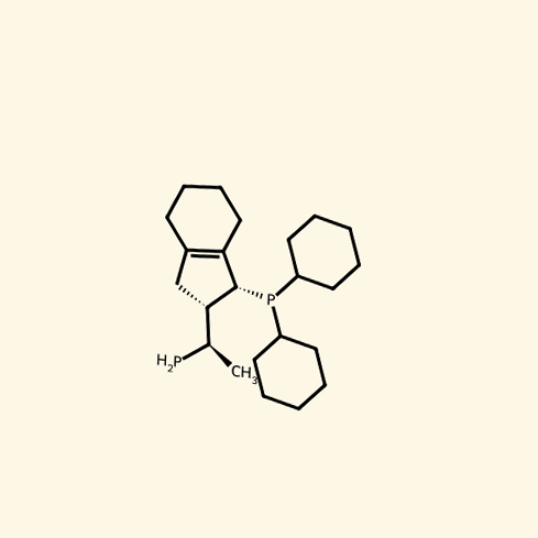 C[C@@H](P)[C@@H]1CC2=C(CCCC2)[C@@H]1P(C1CCCCC1)C1CCCCC1